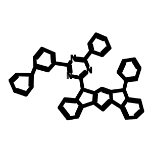 c1ccc(-c2cccc(-c3nc(-c4ccccc4)nc(C4c5ccccc5-c5cc6c(cc54)C(c4ccccc4)c4ccccc4-6)n3)c2)cc1